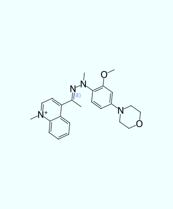 COc1cc(N2CCOCC2)ccc1N(C)/N=C(\C)c1cc[n+](C)c2ccccc12